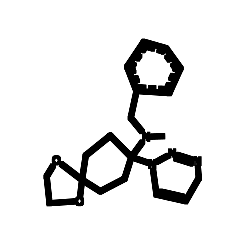 CN(Cc1ccccc1)C1(N2C=CCN=N2)CCC2(CC1)OCCO2